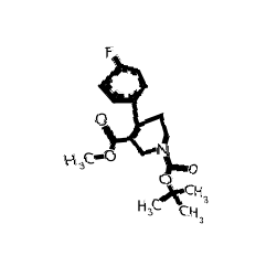 COC(=O)C1=C(c2ccc(F)cc2)CCN(C(=O)OC(C)(C)C)C1